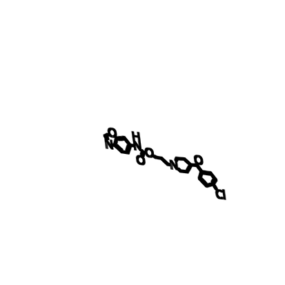 O=C(Nc1ccc2ncoc2c1)OCCCN1CCC(C(=O)c2ccc(Cl)cc2)CC1